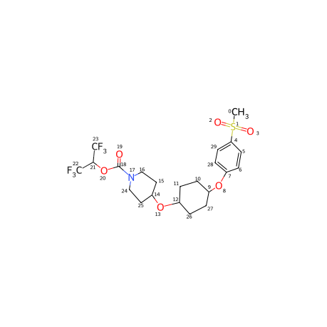 CS(=O)(=O)c1ccc(OC2CCC(OC3CCN(C(=O)OC(C(F)(F)F)C(F)(F)F)CC3)CC2)cc1